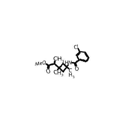 COC(=O)C(C)C1(C)CC(C)(NC(=O)c2cccc(Cl)c2)C1